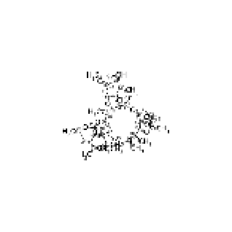 CC[C@H]1OC(=O)[C@H](C)[C@@H](O[C@H]2C[C@@](C)(OC)[C@@H](O)[C@H](C)O2)[C@H](C)[C@@H](OC2OC(C)CC(N(C)C)C2OC(C)=O)[C@](C)(O)C[C@@H](C)CN(C)[C@H](C)[C@@H](OC(C)=O)[C@]1(C)O